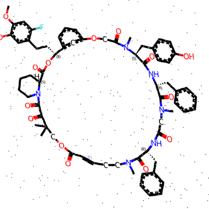 COc1cc(F)c(CC[C@H]2OC(=O)[C@@H]3CCCCN3C(=O)C(=O)C(C)(C)COC(=O)/C=C/CCN(C)C(=O)[C@@H](Cc3ccccc3)NC(=O)CN(C)C(=O)[C@@H](Cc3ccccc3)NC(=O)[C@H](Cc3ccc(O)cc3)N(C)C(=O)COc3cccc2c3)cc1OC